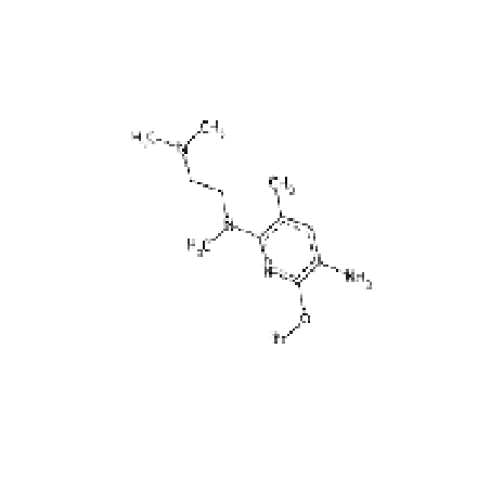 Cc1cc(N)c(OC(C)C)nc1N(C)CCN(C)C